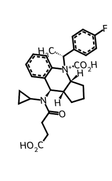 C[C@H](c1ccc(F)cc1)[N@@+]1(C(=O)O)c2ccccc2[C@H](N(C(=O)CCC(=O)O)C2CC2)[C@H]2CCC[C@H]21